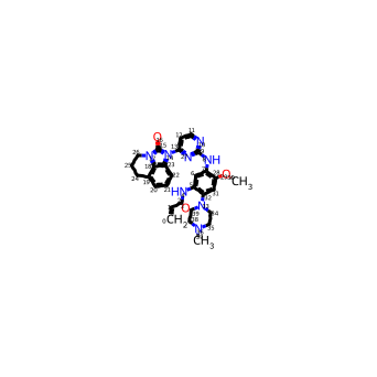 C=CC(=O)Nc1cc(Nc2nccc(-n3c(=O)n4c5c(cccc53)CCC4)n2)c(OC)cc1N1CCN(C)CC1